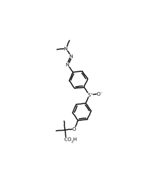 CN(C)N=Nc1ccc([S+]([O-])c2ccc(OC(C)(C)C(=O)O)cc2)cc1